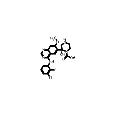 COc1cc2ncnc(Nc3cccc(Cl)c3F)c2cc1[C@]1(C)CNCCN1C(=O)O